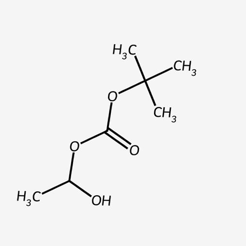 CC(O)OC(=O)OC(C)(C)C